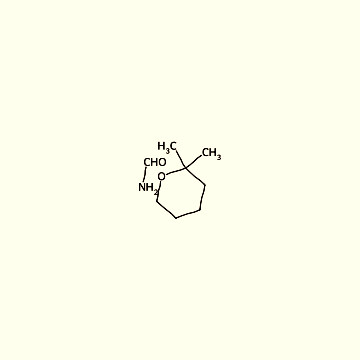 CC1(C)CCCCO1.NC=O